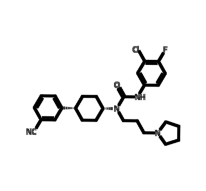 N#Cc1cccc([C@H]2CC[C@@H](N(CCCN3CCCC3)C(=O)Nc3ccc(F)c(Cl)c3)CC2)c1